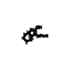 CCCCCn1c(O)nc2cccnc21